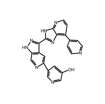 Oc1cncc(-c2cc3c(-c4nc5c(-c6ccncc6)ccnc5[nH]4)n[nH]c3cn2)c1